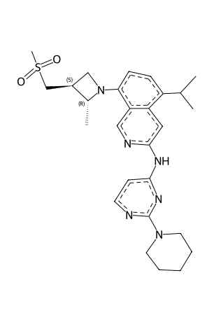 CC(C)c1ccc(N2C[C@H](CS(C)(=O)=O)[C@H]2C)c2cnc(Nc3ccnc(N4CCCCC4)n3)cc12